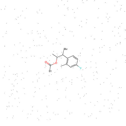 CCC(=O)OC(C)C(c1ccc(F)cc1C)C(C)CC